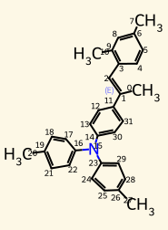 C/C(=C\c1ccc(C)cc1C)c1ccc(N(c2ccc(C)cc2)c2ccc(C)cc2)cc1